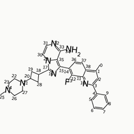 Cc1cc(-c2ccccc2)nc2c(F)c(-c3nc(C4CC(N5CCN(C)CC5)C4)n4ccnc(N)c34)ccc12